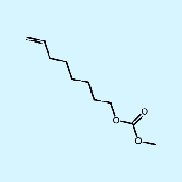 C=CCCCCCCOC(=O)OC